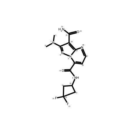 CN(C)c1nn2c(C(=O)NC3CC(F)(F)C3)ccnc2c1C(N)=O